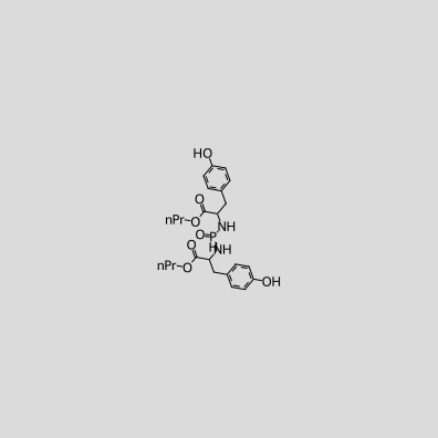 CCCOC(=O)C(Cc1ccc(O)cc1)N[PH](=O)NC(Cc1ccc(O)cc1)C(=O)OCCC